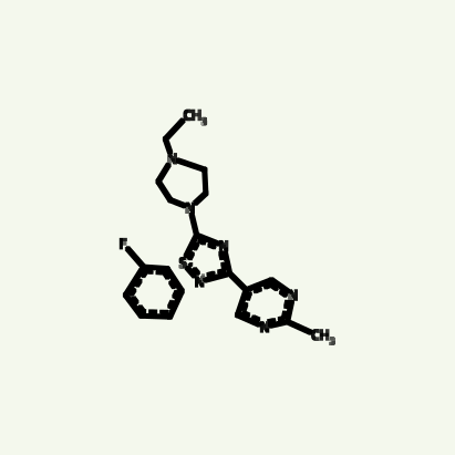 CCN1CCN(c2nc(-c3cnc(C)nc3)ns2)CC1.Fc1ccccc1